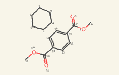 C1CCCCC1.COC(=O)c1ccc(C(=O)OC)cc1